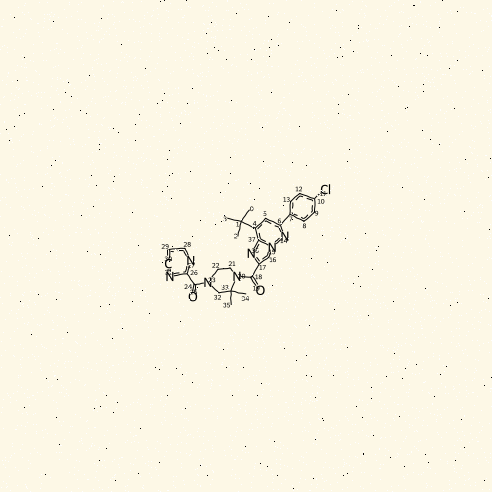 CC(C)(C)c1cc(-c2ccc(Cl)cc2)nn2cc(C(=O)N3CCN(C(=O)c4ncccn4)CC3(C)C)nc12